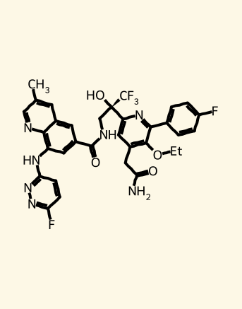 CCOc1c(CC(N)=O)cc([C@@](O)(CNC(=O)c2cc(Nc3ccc(F)nn3)c3ncc(C)cc3c2)C(F)(F)F)nc1-c1ccc(F)cc1